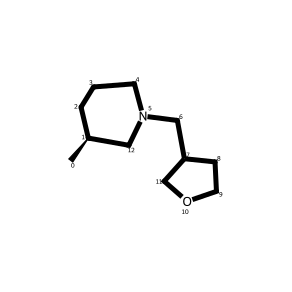 C[C@H]1CCCN(CC2CCOC2)C1